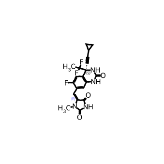 CN1C(=O)NC(=O)/C1=C\c1cc2c(cc1F)[C@@](C#CC1CC1)(C(C)(F)F)NC(=O)N2